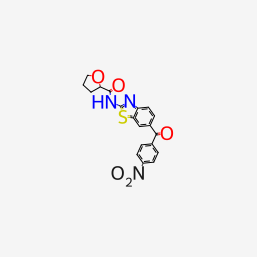 O=C(c1ccc([N+](=O)[O-])cc1)c1ccc2nc(NC(=O)C3CCCO3)sc2c1